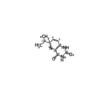 CP(C)c1ccc2[nH]c(=O)[nH]c(=O)c2n1